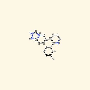 Cc1cccc(-c2ncccc2-c2ccc3nncn3c2)c1